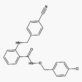 N#Cc1ccc(CNc2ccccc2C(=O)NOCc2ccc(Cl)cc2)cc1